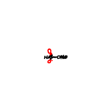 CO[AsH](=O)[O-].[Na+]